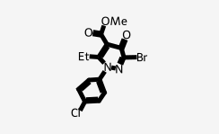 CCc1c(C(=O)OC)c(=O)c(Br)nn1-c1ccc(Cl)cc1